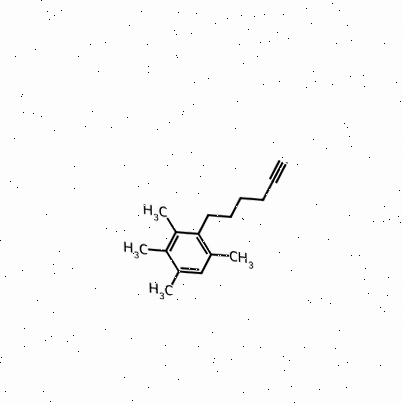 [C]#CCCCCc1c(C)cc(C)c(C)c1C